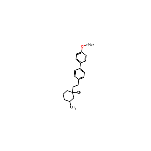 CCCCCCOc1ccc(-c2ccc(CCC3(C#N)CCCC(C)C3)cc2)cc1